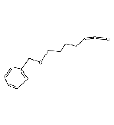 O=C=CCCCCOCc1ccccc1